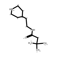 CC(C)(C)CC(=O)NCCC1CCNCC1